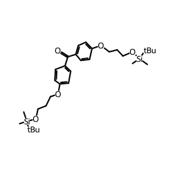 CC(C)(C)[Si](C)(C)OCCCOc1ccc(C(=O)c2ccc(OCCCO[Si](C)(C)C(C)(C)C)cc2)cc1